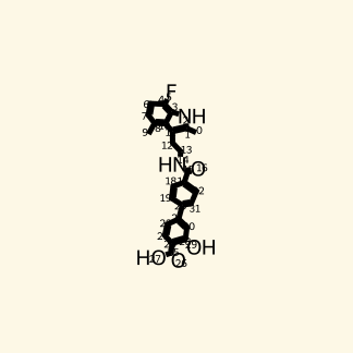 Cc1[nH]c2c(F)ccc(C)c2c1CCNC(=O)c1ccc(-c2ccc(C(=O)O)c(O)c2)cc1